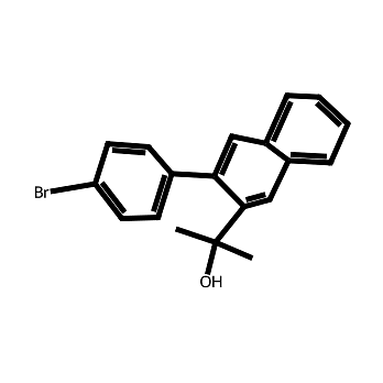 CC(C)(O)c1cc2ccccc2cc1-c1ccc(Br)cc1